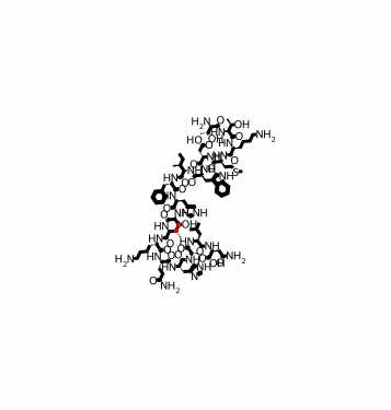 CC[C@H](C)[C@H](NC(=O)[C@H](Cc1c[nH]c2ccccc12)NC(=O)[C@H](CC(=O)O)NC(=O)[C@H](CCSC)NC(=O)[C@H](CCCCN)NC(=O)[C@@H](NC(=O)[C@@H](N)[C@@H](C)O)[C@@H](C)O)C(=O)N[C@@H](Cc1ccccc1)C(=O)N[C@@H](Cc1c[nH]cn1)C(=O)N[C@H](C(=O)N[C@H](C(=O)N[C@@H](CCCCN)C(=O)N[C@@H](CCC(N)=O)C(=O)N[C@@H](Cc1c[nH]cn1)C(=O)N[C@@H](C)C(=O)N[C@@H](CC(C)C)C(=O)N[C@@H](CC(N)=O)C(=O)O)[C@@H](C)CC)[C@@H](C)O